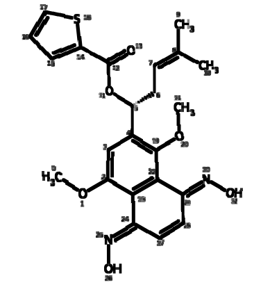 COc1cc([C@@H](CC=C(C)C)OC(=O)c2cccs2)c(OC)c2c1C(=NO)C=CC2=NO